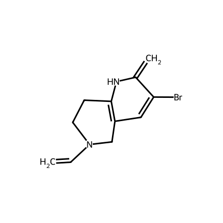 C=CN1CCC2=C(C=C(Br)C(=C)N2)C1